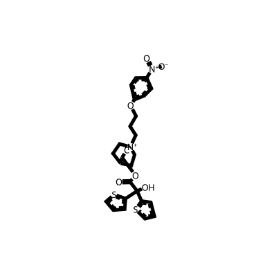 O=C(OC1C[N+]2(CCCOc3ccc([N+](=O)[O-])cc3)CCC1CC2)C(O)(c1cccs1)c1cccs1